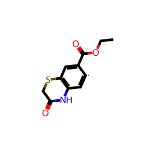 CCOC(=O)c1[c]cc2c(c1)SCC(=O)N2